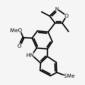 COC(=O)c1cc(-c2c(C)noc2C)cc2c1[nH]c1ccc(SC)cc12